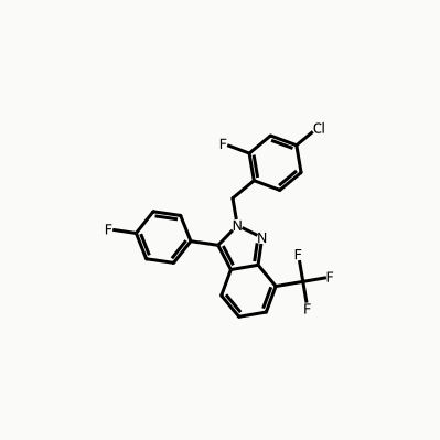 Fc1ccc(-c2c3cccc(C(F)(F)F)c3nn2Cc2ccc(Cl)cc2F)cc1